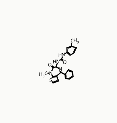 Cc1cccc(NC(=O)NC2N=C(c3ccccc3)c3ccsc3N(C)C2=O)c1